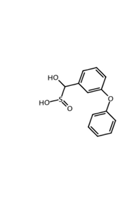 O=S(O)C(O)c1cccc(Oc2ccccc2)c1